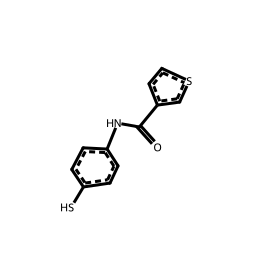 O=C(Nc1ccc(S)cc1)c1ccsc1